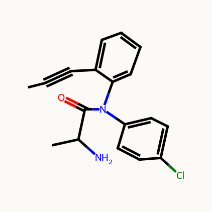 CC#Cc1ccccc1N(C(=O)C(C)N)c1ccc(Cl)cc1